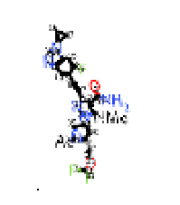 CNc1c(C(N)=O)c(C#Cc2cc3ncn(C4CC4)c3cc2F)nn1[C@H]1C[C@H](CCOC(F)F)N(C(C)=O)C1